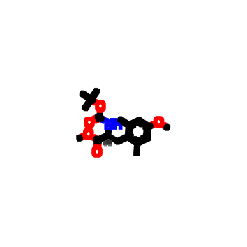 COC(=O)[C@H](Cc1c(C)cc(OC)cc1C)NC(=O)OC(C)(C)C